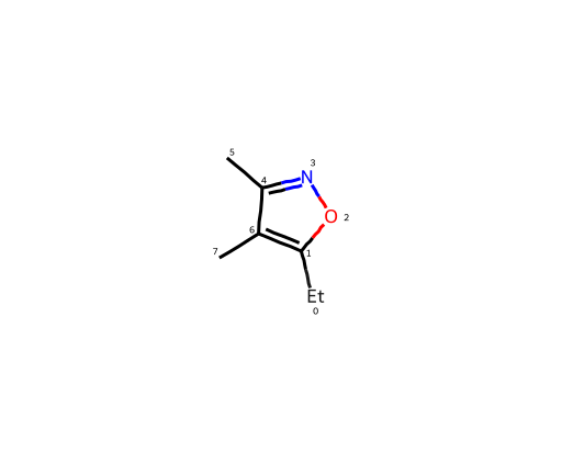 [CH2]Cc1onc(C)c1C